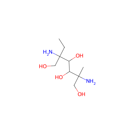 CCC(N)(CO)C(O)C(O)C(C)(N)CO